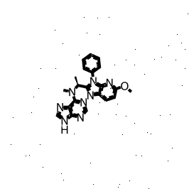 COc1ccc2nc([C@H](C)N(C)c3ncnc4[nH]cnc34)n(-c3ccccc3)c2n1